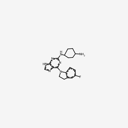 NC1CCC(Nc2nc(N3CCc4cc(F)ccc43)c3nc[nH]c3n2)CC1